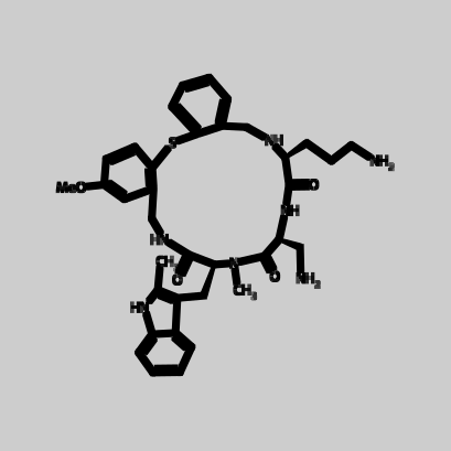 COc1ccc2c(c1)CNC(=O)[C@H](Cc1c(C)[nH]c3ccccc13)N(C)C(=O)[C@H](CN)NC(=O)[C@H](CCCN)NCc1ccccc1S2